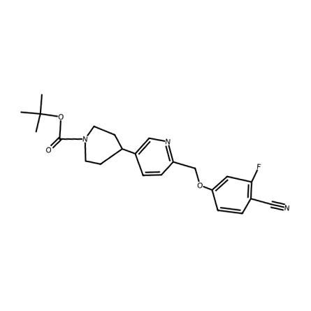 CC(C)(C)OC(=O)N1CCC(c2ccc(COc3ccc(C#N)c(F)c3)nc2)CC1